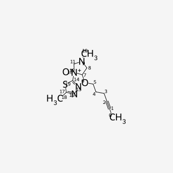 CC#CCCCOC1CN(C)C[N+]1([O-])c1nnc(C)s1